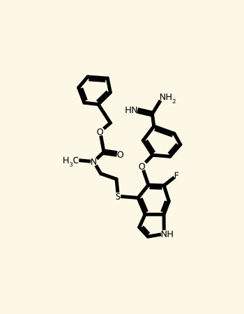 CN(CCSc1c(Oc2cccc(C(=N)N)c2)c(F)cc2[nH]ccc12)C(=O)OCc1ccccc1